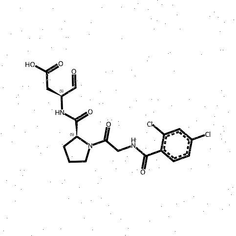 O=C[C@H](CC(=O)O)NC(=O)[C@@H]1CCCN1C(=O)CNC(=O)c1ccc(Cl)cc1Cl